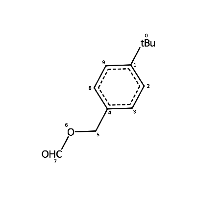 CC(C)(C)c1ccc(COC=O)cc1